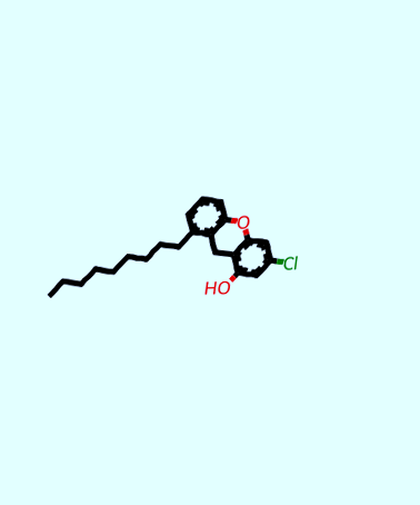 CCCCCCCCCc1cccc2c1Cc1c(O)cc(Cl)cc1O2